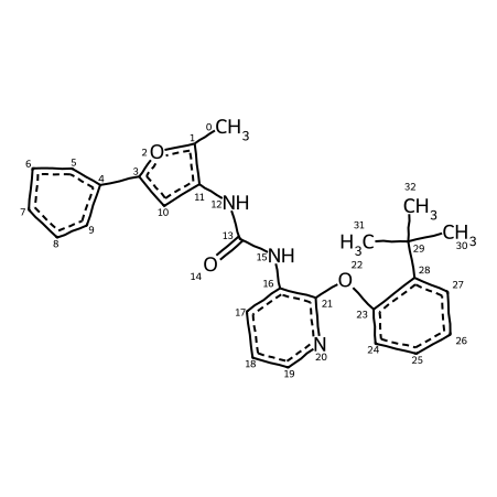 Cc1oc(-c2ccccc2)cc1NC(=O)Nc1cccnc1Oc1ccccc1C(C)(C)C